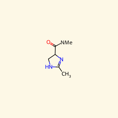 CNC(=O)C1CNC(C)=N1